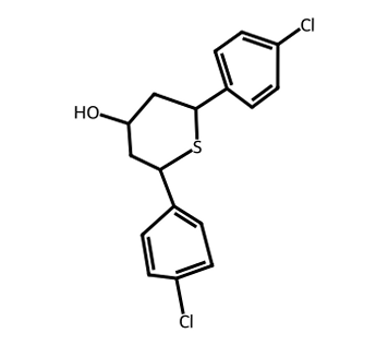 OC1CC(c2ccc(Cl)cc2)SC(c2ccc(Cl)cc2)C1